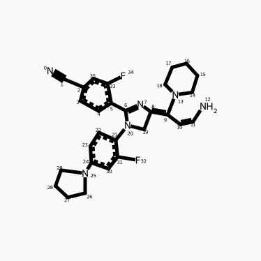 N#Cc1ccc(C2=N/C(=C(/C=C\N)N3CCCCC3)CN2c2ccc(N3CCCC3)cc2F)c(F)c1